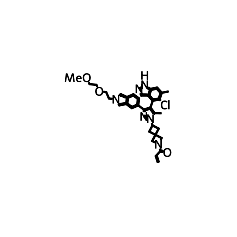 C=CC(=O)N1CC2(CC(n3nc(-c4ccc5cn(CCOCCOC)cc5c4)c(-c4c(Cl)c(C)cc5[nH]ncc45)c3C)C2)C1